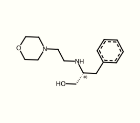 OC[C@@H](Cc1ccccc1)NCCN1CCOCC1